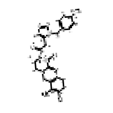 CCNC(=S)N(Cc1cccc(Cl)c1Cl)C[C@H](C)NC(=O)Cc1cncn1Cc1ccc(C#N)cc1